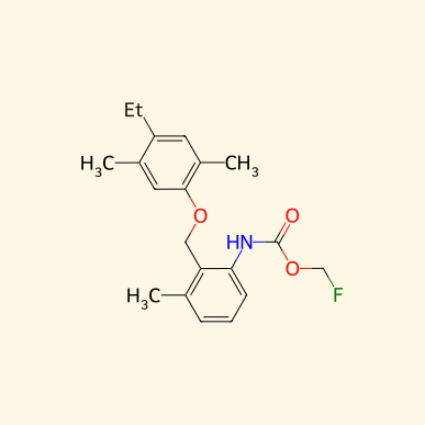 CCc1cc(C)c(OCc2c(C)cccc2NC(=O)OCF)cc1C